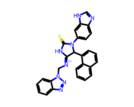 S=C1N/C(=N\Cn2nnc3ccccc32)C(c2cccc3ccccc23)N1c1ccc2nc[nH]c2c1